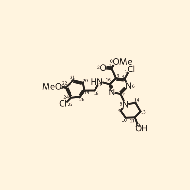 COC(=O)c1c(Cl)nc(N2CCC(O)CC2)nc1NCc1ccc(OC)c(Cl)c1